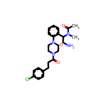 CC(=O)N(C)C(C(N)=O)c1ccccc1N1CCN(C(=O)[CH]Cc2ccc(Cl)cc2)CC1